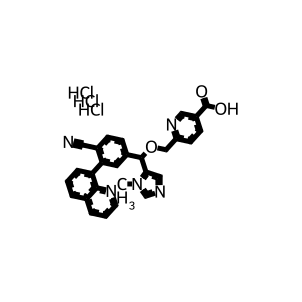 Cl.Cl.Cl.Cn1cncc1C(OCc1ccc(C(=O)O)cn1)c1ccc(C#N)c(-c2cccc3cccnc23)c1